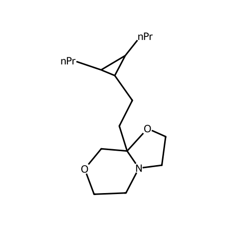 CCCC1C(CCC)C1CCC12COCCN1CCO2